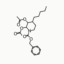 CCCCCC1CCN(C(=O)OCc2ccccc2)C(OC(C)=O)C1OC(C)=O